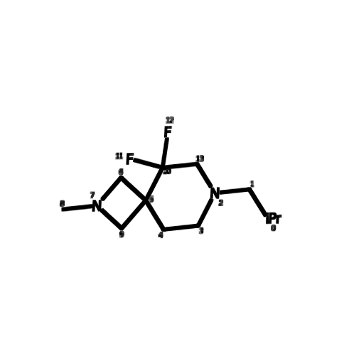 CC(C)CN1CCC2(CN(C)C2)C(F)(F)C1